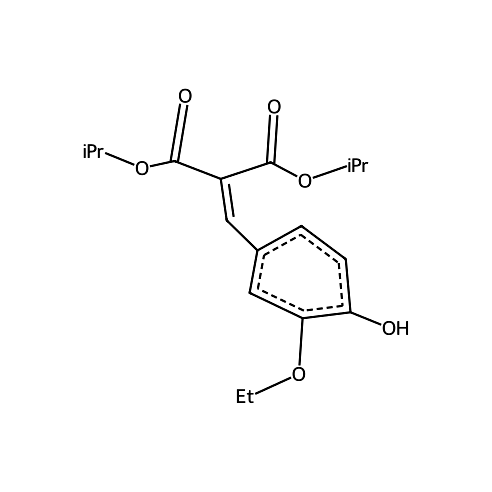 CCOc1cc(C=C(C(=O)OC(C)C)C(=O)OC(C)C)ccc1O